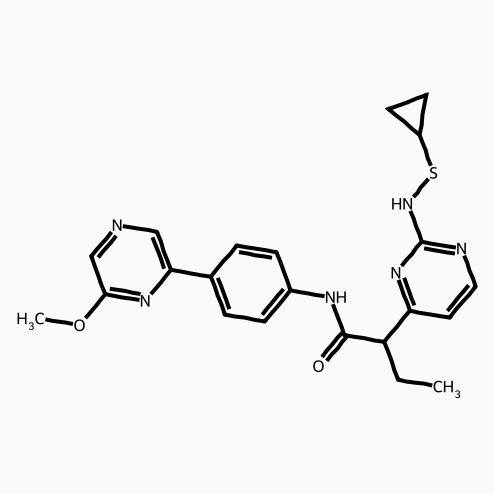 CCC(C(=O)Nc1ccc(-c2cncc(OC)n2)cc1)c1ccnc(NSC2CC2)n1